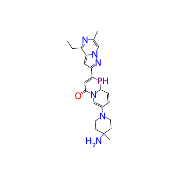 CCc1nc(C)cn2nc(C3=CC(=O)N4C=C(N5CCC(C)(N)CC5)C=CC4P3)cc12